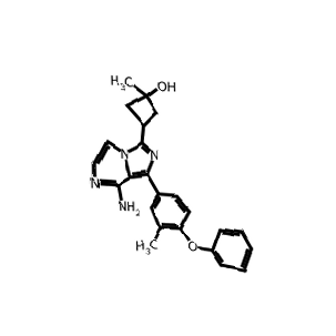 Cc1cc(-c2nc(C3CC(C)(O)C3)n3ccnc(N)c23)ccc1Oc1ccccc1